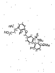 CCC[C@@H](CC(=O)O)c1cccc(OCc2ccc(-c3cc(OC)ccc3F)c([C@H](F)C(C)(C)C)c2)c1F